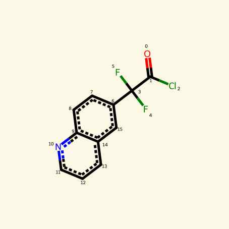 O=C(Cl)C(F)(F)c1ccc2ncccc2c1